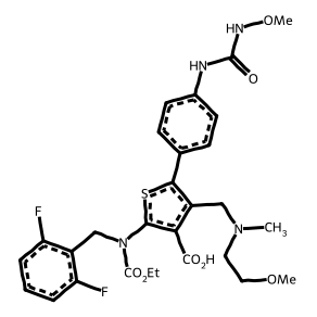 CCOC(=O)N(Cc1c(F)cccc1F)c1sc(-c2ccc(NC(=O)NOC)cc2)c(CN(C)CCOC)c1C(=O)O